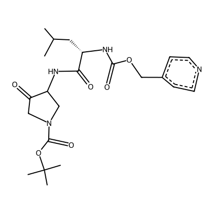 CC(C)C[C@H](NC(=O)OCc1ccncc1)C(=O)NC1CN(C(=O)OC(C)(C)C)CC1=O